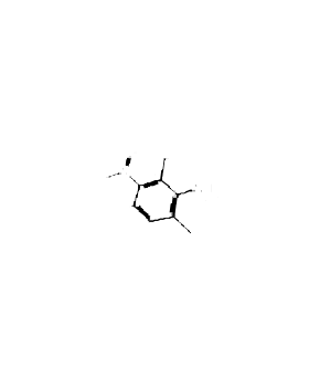 Cc1ccc([N+](=O)O)c(C)c1N